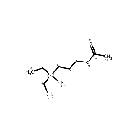 CC[N+](C)(CC)CCCOC(C)=O